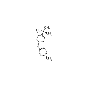 Cc1ccc(OC2CCN(C(C)(C)C)CC2)cc1